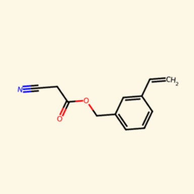 C=Cc1cccc(COC(=O)CC#N)c1